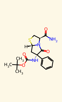 CC(C)(C)OC(=O)N[C@]1(c2ccccc2)C[C@@H]2SC[C@@H](C(N)=O)N2C1=O